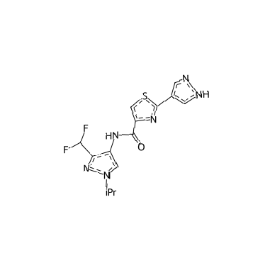 CC(C)n1cc(NC(=O)c2csc(-c3cn[nH]c3)n2)c(C(F)F)n1